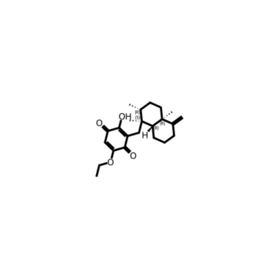 C=C1CCC[C@@H]2[C@@](C)(CC3=C(O)C(=O)C=C(OCC)C3=O)[C@H](C)CC[C@@]12C